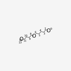 COCCCCCOCCCCOC